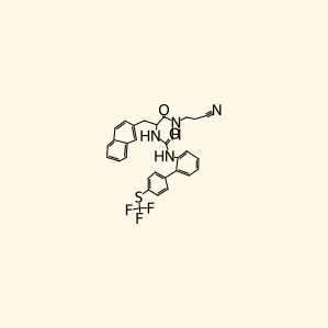 N#CCCNC(=O)C(Cc1ccc2ccccc2c1)NC(=O)Nc1ccccc1-c1ccc(SC(F)(F)F)cc1